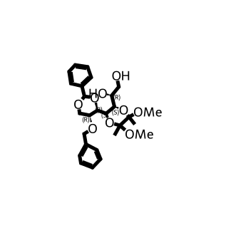 COC1(C)O[C@@H]([C@@H]2OC(c3ccccc3)OC[C@H]2OCc2ccccc2)[C@H]([C@H](O)CO)OC1(C)OC